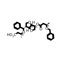 C[C@H](CC(=O)O[C@@H]1CO[C@H]2[C@H]1OC[C@H]2C(O[C@H](C)CC(=O)O)c1ccccc1)OCc1ccccc1